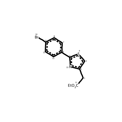 CCOC(=O)Cc1csc(-c2ccc(Br)cc2)n1